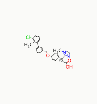 Cc1c(Cl)cccc1-c1cccc(COc2ccc([C@H](CC(=O)O)c3nccn3C)cc2)c1